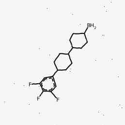 BC1CCC(C2CCC(c3cc(F)c(F)c(F)c3)CC2)CC1